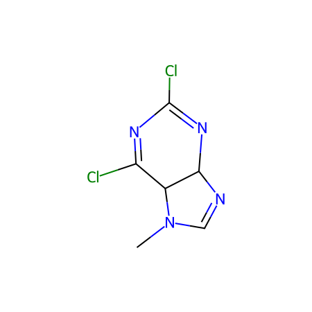 CN1C=NC2N=C(Cl)N=C(Cl)C21